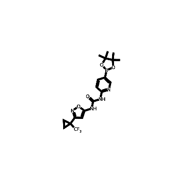 CC1(C)OB(c2ccc(NC(=O)Nc3cc(C4(C(F)(F)F)CC4)no3)nc2)OC1(C)C